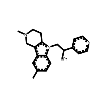 CCCC(Cn1c2c(c3cc(C)ccc31)CN(C)CC2)c1ccncc1